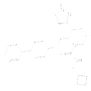 O=C(NCC1CCC1)N1CCCC(c2cc[nH]n2)C1COC1CCC(c2ccccc2)CC1